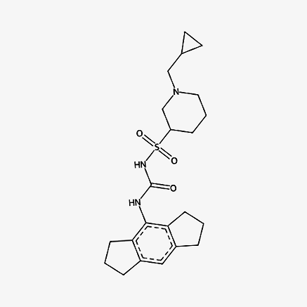 O=C(Nc1c2c(cc3c1CCC3)CCC2)NS(=O)(=O)C1CCCN(CC2CC2)C1